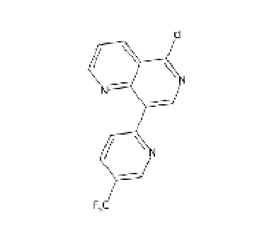 FC(F)(F)c1ccc(-c2cnc(Cl)c3cccnc23)nc1